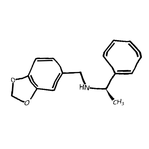 C[C@@H](NCc1ccc2c(c1)OCO2)c1ccccc1